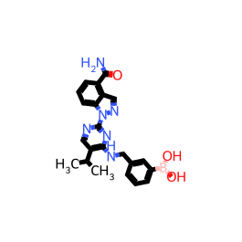 CC(C)c1cnc(-n2ncc3c(C(N)=O)cccc32)nc1NCc1cccc(B(O)O)c1